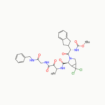 CCCC(NC(=O)[C@@H]1C2C(CN1C(=O)[C@@H](NC(=O)OC(C)(C)C)C1Cc3ccccc3C1)C2(Cl)Cl)C(=O)C(=O)NCC(=O)NCc1ccccc1